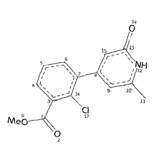 COC(=O)c1cccc(-c2cc(C)[nH]c(=O)c2)c1Cl